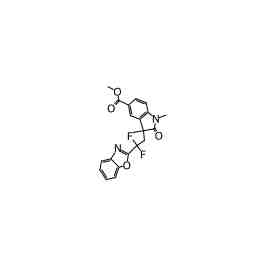 COC(=O)c1ccc2c(c1)C(C)(CC(F)(F)c1nc3ccccc3o1)C(=O)N2C